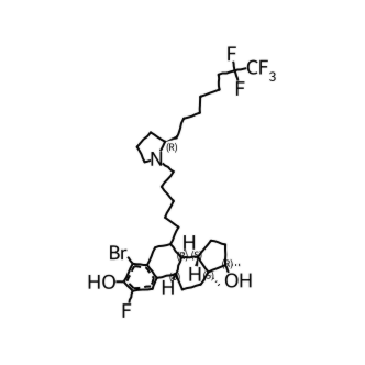 C[C@]12CC[C@@H]3c4cc(F)c(O)c(Br)c4CC(CCCCCN4CCC[C@H]4CCCCCCC(F)(F)C(F)(F)F)[C@H]3[C@@H]1CC[C@@]2(C)O